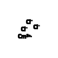 [Cl-].[Cl-].[Cl-].[Cm+3]